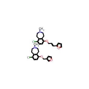 CN1CCc2c(Cl)ccc(OC/C=C/c3ccco3)c2CC1.CN1CCc2c(Cl)ccc(OCc3ccoc3)c2CC1